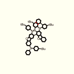 CC(C)(C)c1ccc(N2B3c4cc(C(C)(C)C)ccc4N(c4ccc(C(C)(C)C)cc4-c4ccccc4)c4cc5c(oc6ccccc65)c(c43)-c3cc4c(cc32)oc2ccc(N(c3ccccc3)c3ccc(C(C)(C)C)cc3)cc24)cc1